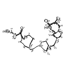 CCCCOC(=O)N1CCC(CN2CCN(Cc3cnc4cc(CC)c(=O)[nH]c4c3)CC2)CC1